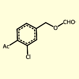 CC(=O)c1ccc(CO[C]=O)cc1Cl